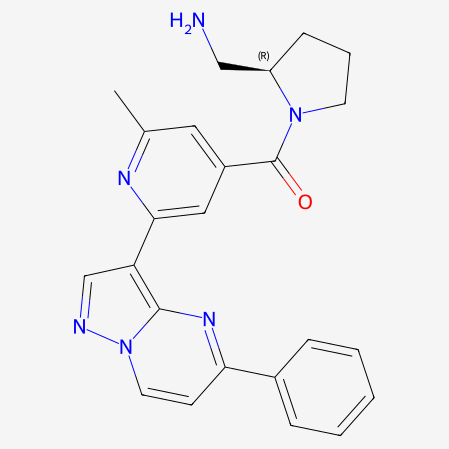 Cc1cc(C(=O)N2CCC[C@@H]2CN)cc(-c2cnn3ccc(-c4ccccc4)nc23)n1